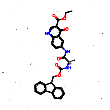 CCOC(=O)c1c[nH]c2ccc(NC(=O)[C@H](C)NC(=O)OCC3c4ccccc4-c4ccccc43)cc2c1=O